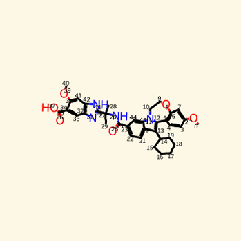 COc1ccc2c(c1)OCCn1c-2c(C2CCCCC2)c2ccc(C(=O)NC(C)(C)c3nc4cc(C(=O)O)c(OC)cc4[nH]3)cc21